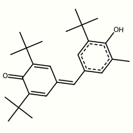 Cc1cc(C=C2C=C(C(C)(C)C)C(=O)C(C(C)(C)C)=C2)cc(C(C)(C)C)c1O